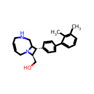 Cc1cccc(-c2ccc([C@H]3C4CNC/C=C\CN4[C@@H]3CO)cc2)c1C